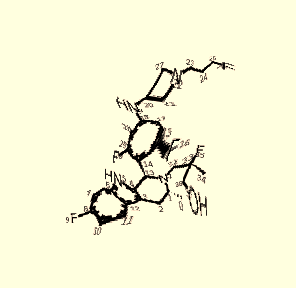 C[C@@H]1Cc2c([nH]c3cc(F)ccc23)[C@@H](c2c(F)cc(NC3CN(CCCF)C3)cc2F)N1C[C@](C)(F)CO